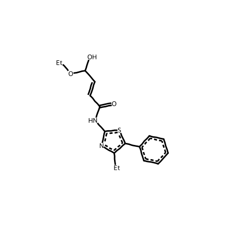 CCOC(O)/C=C/C(=O)Nc1nc(CC)c(-c2ccccc2)s1